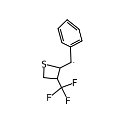 FC(F)(F)C1CSC1[CH]c1ccccc1